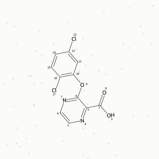 O=C(O)c1nccnc1Oc1cc(Cl)ccc1Cl